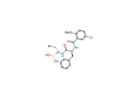 COc1ccc(Cl)cc1C(=O)N[C@@H](Cc1ccccc1)C(=O)N[C@@H](CC(C)C)B(O)O